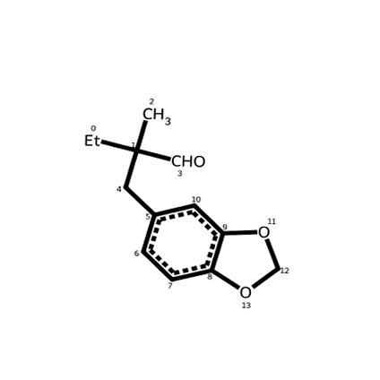 CCC(C)(C=O)Cc1ccc2c(c1)OCO2